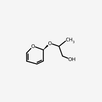 CC(CO)O[C@H]1C=CC=CO1